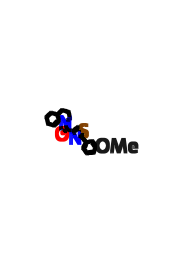 COc1cccc(-c2nc(C(=O)N3CCCC4CCCC=C43)cs2)c1